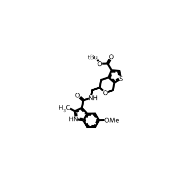 COc1ccc2[nH]c(C)c(C(=O)NCC3Cc4c(C(=O)OC(C)(C)C)csc4CO3)c2c1